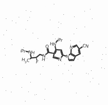 CC(C)Nc1cc(-n2ccc3cc(C#N)cnc32)ncc1C(=O)NC[C@@H](F)C(C)NC(C)C